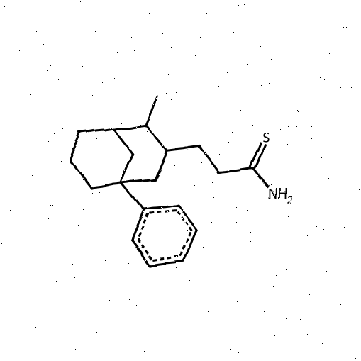 CC1C2CCCC(c3ccccc3)(C2)CC1CCC(N)=S